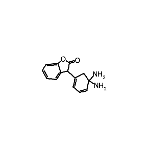 NC1(N)C=CC=C(C2C(=O)Oc3ccccc32)C1